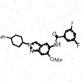 COc1cc2nn(C3CCC(C(C)C)CC3)cc2cc1NC(=O)c1cc(F)cc(F)c1